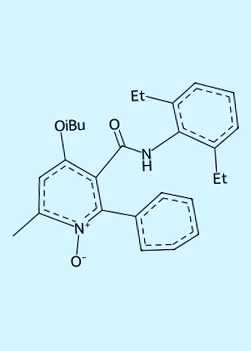 CCc1cccc(CC)c1NC(=O)c1c(OCC(C)C)cc(C)[n+]([O-])c1-c1ccccc1